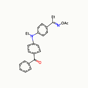 CC/C(=N\OC(C)=O)c1ccc(N(CC)c2ccc(C(=O)c3ccccc3)cc2)cc1